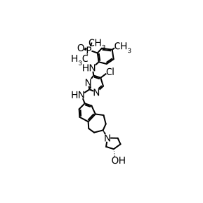 Cc1ccc(Nc2nc(Nc3ccc4c(c3)CC[C@@H](N3CC[C@H](O)C3)CC4)ncc2Cl)c(P(C)(C)=O)c1